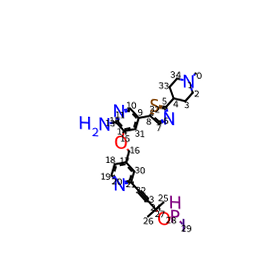 CN1CCC(c2ncc(-c3cnc(N)c(OCc4ccnc(C#CC(C)(C)OPI)c4)c3)s2)CC1